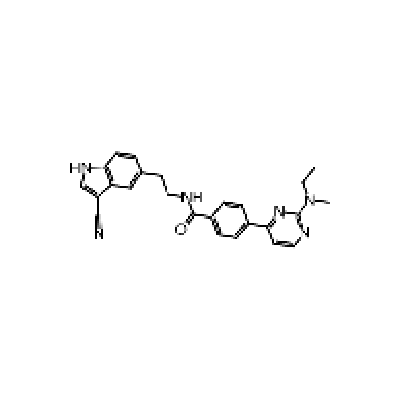 CCN(C)c1nccc(-c2ccc(C(=O)NCCc3ccc4[nH]cc(C#N)c4c3)cc2)n1